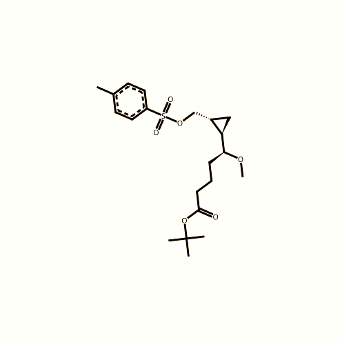 CO[C@@H](CCCC(=O)OC(C)(C)C)[C@@H]1C[C@H]1COS(=O)(=O)c1ccc(C)cc1